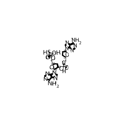 Nc1ncnc2c1ncn2[C@@H]1O[C@H](CO[P@](=O)(O)S)C[C@H]1O[PH](=O)OC[C@@H]1CC[C@H](n2cnc3c(N)ncnc32)O1